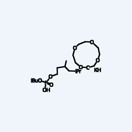 C1COCCOCCOCCO1.CC(C)COP(=O)(O)OCCC(C)CC(C)C.[KH]